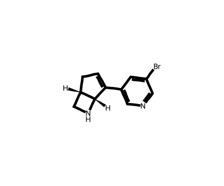 Brc1cncc(C2=CC[C@H]3CN[C@@H]23)c1